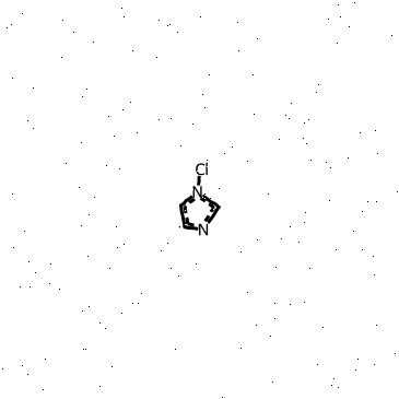 Cln1c[c]nc1